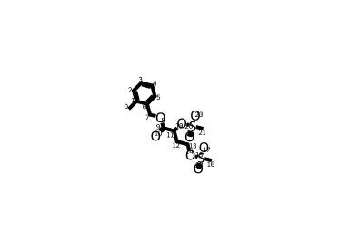 Cc1ccccc1COC(=O)C(CCOS(C)(=O)=O)OS(C)(=O)=O